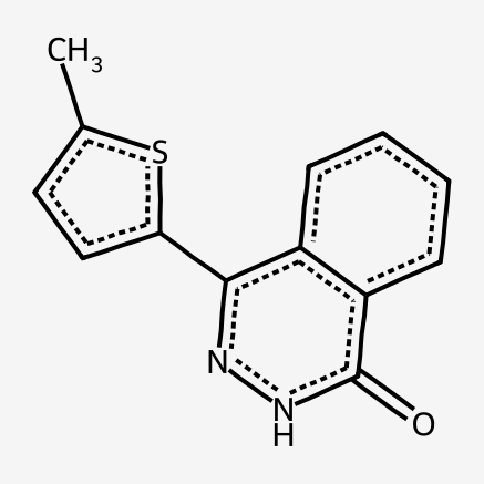 Cc1ccc(-c2n[nH]c(=O)c3ccccc23)s1